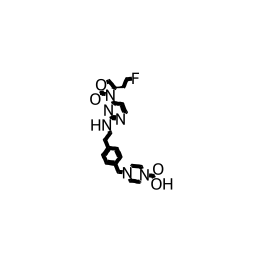 O=C(O)N1CCN(Cc2ccc(CCNc3nccc(N4C(=O)OC[C@H]4CCF)n3)cc2)CC1